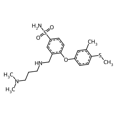 CSc1ccc(Oc2ccc(S(N)(=O)=O)cc2CNCCCN(C)C)cc1C